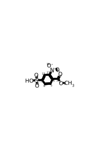 COC(=O)c1ccc(S(=O)(=O)O)cc1[N+](=O)[O-]